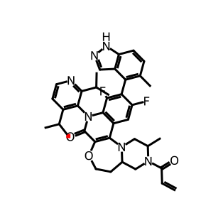 C=CC(=O)N1CC2CCOc3c(c4cc(F)c(-c5c(C)ccc6[nH]ncc56)c(F)c4n(-c4c(C(C)C)ccnc4C(C)C)c3=O)N2CC1C